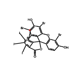 O=C1OC2(c3ccc(O)c(Br)c3Oc3c(Br)c(O)c(Br)c(Br)c32)c2c(I)c(I)c(I)c(I)c21